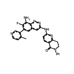 Cc1ccncc1-c1cc2cc(Nc3ccc4c(n3)CCN(C(C)C)C4=O)nnc2c(N)c1F